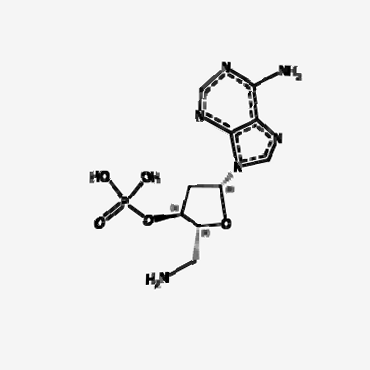 NC[C@H]1O[C@@H](n2cnc3c(N)ncnc32)C[C@@H]1OP(=O)(O)O